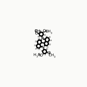 COc1cc(OC)cc(-n2c3ccc4cccc5c4c3-c3c4c(cccc42)ccc3n5-c2cc(OC)cc(OC)c2)c1